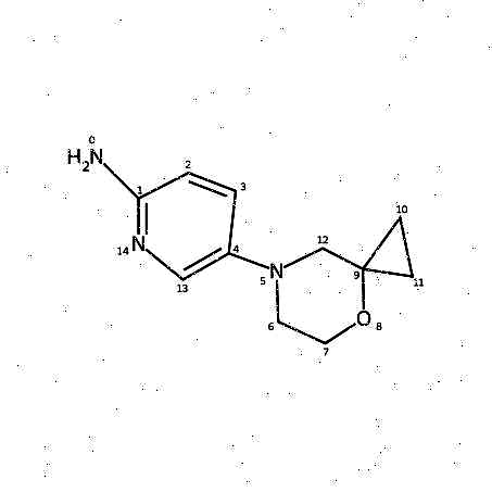 Nc1ccc(N2CCOC3(CC3)C2)cn1